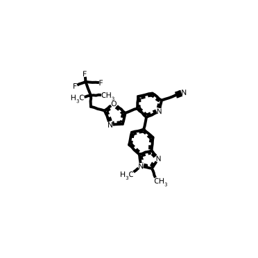 Cc1nc2cc(-c3nc(C#N)ccc3-c3cnc(CC(C)(C)C(F)(F)F)o3)ccc2n1C